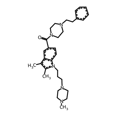 Cc1c(C)n(CCCN2CCN(C)CC2)c2ccc(C(=O)N3CCN(CCc4ccccc4)CC3)cc12